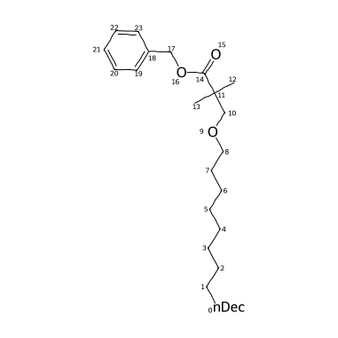 CCCCCCCCCCCCCCCCCCOCC(C)(C)C(=O)OCc1ccccc1